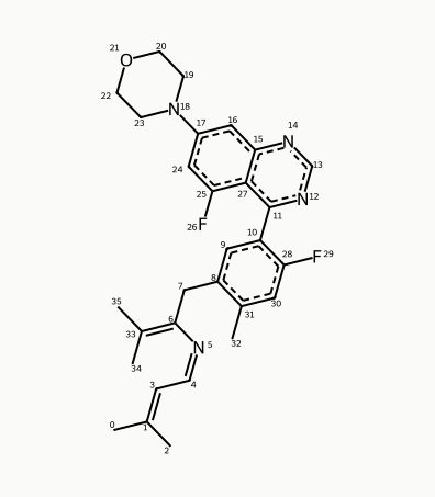 CC(C)=C/C=N\C(Cc1cc(-c2ncnc3cc(N4CCOCC4)cc(F)c23)c(F)cc1C)=C(C)C